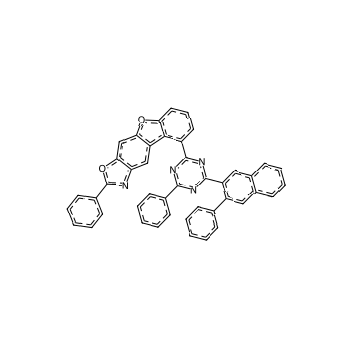 c1ccc(-c2nc(-c3cc4ccccc4cc3-c3ccccc3)nc(-c3cccc4oc5cc6oc(-c7ccccc7)nc6cc5c34)n2)cc1